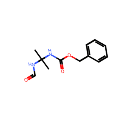 CC(C)(NC=O)NC(=O)OCc1ccccc1